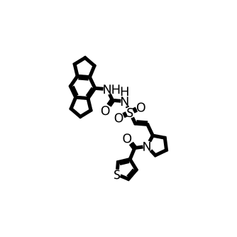 O=C(Nc1c2c(cc3c1CCC3)CCC2)NS(=O)(=O)/C=C/C1CCCN1C(=O)c1ccsc1